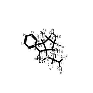 [2H]C([2H])C([2H])([2H])N(CC)C1(C(N)c2ccccc2)C([2H])([2H])C([2H])([2H])C([2H])([2H])C1([2H])[2H]